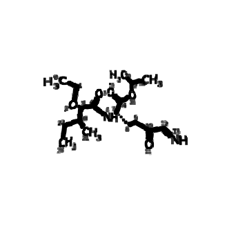 CCO[C@H](C(=O)N[C@@H](CCC(=O)C=N)C(=O)OC(C)C)C(C)CC